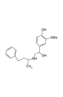 CSc1cc(C(O)CNC(C)CCc2ccccc2)ccc1O